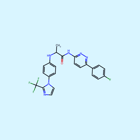 CC(Nc1ccc(-n2ccnc2C(F)(F)F)cc1)C(=O)Nc1ccc(-c2ccc(F)cc2)nn1